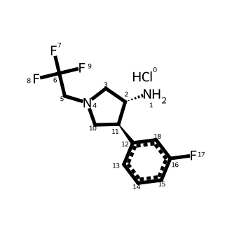 Cl.N[C@H]1CN(CC(F)(F)F)C[C@@H]1c1cccc(F)c1